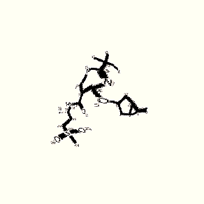 CC1C2CC(Oc3nc(C(C)(C)C)ncc3C(=O)N[C@@H](C)/C=C/S(C)(=O)=O)CC12